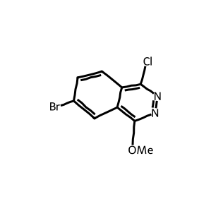 COc1nnc(Cl)c2ccc(Br)cc12